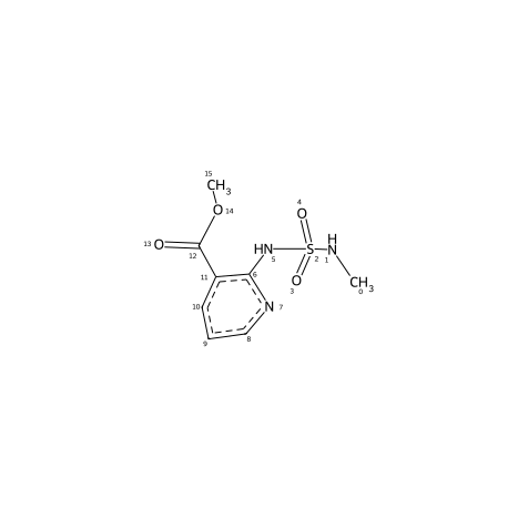 CNS(=O)(=O)Nc1ncccc1C(=O)OC